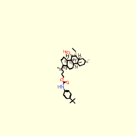 CC[C@H]1[C@@H](O)[C@@H]2[C@H](CC[C@]3(C)[C@@H]([C@H](C)CCCOC(=O)Nc4ccc(C(C)(C)C)cc4)CC[C@@H]23)[C@@]2(C)CC[C@@H](C)C[C@@H]12